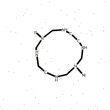 [Ni][N]1CNCCNC[N]([Tl])CNCCNC1